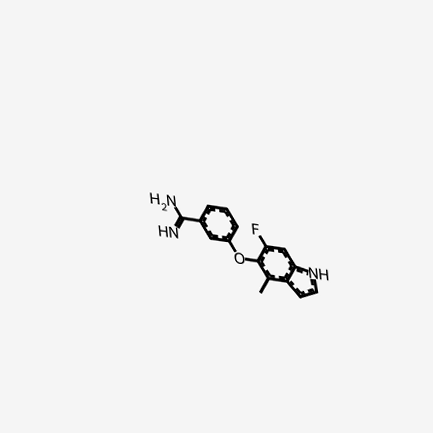 Cc1c(Oc2cccc(C(=N)N)c2)c(F)cc2[nH]ccc12